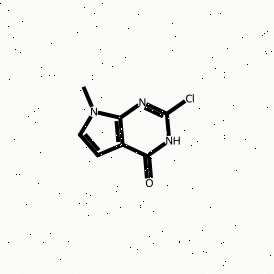 Cn1ccc2c(=O)[nH]c(Cl)nc21